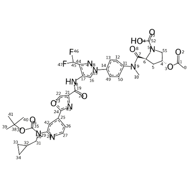 CC(=O)O[C@@H]1C[C@@H](C(=O)N(C)c2ccc(-n3cc(NC(=O)c4coc(-c5ccnc(N(CC6CC6)C(=O)OC(C)(C)C)c5)n4)c(C(F)F)n3)cc2)N(C(=O)O)C1